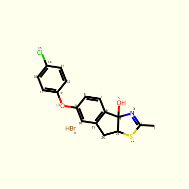 Br.CC1=NC2(O)c3ccc(Oc4ccc(Cl)cc4)cc3CC2S1